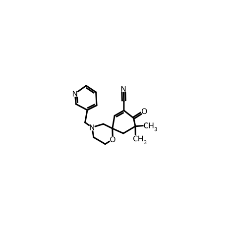 CC1(C)CC2(C=C(C#N)C1=O)CN(Cc1cccnc1)CCO2